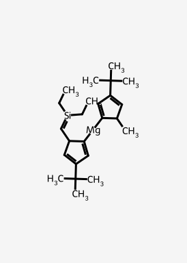 CC[Si](=CC1C=C(C(C)(C)C)C=[C]1[Mg][C]1=CC(C(C)(C)C)=CC1C)CC